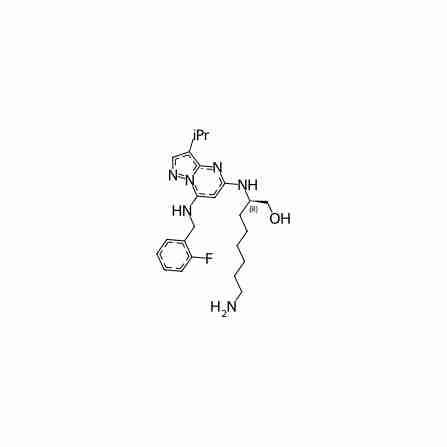 CC(C)c1cnn2c(NCc3ccccc3F)cc(N[C@@H](CO)CCCCCCN)nc12